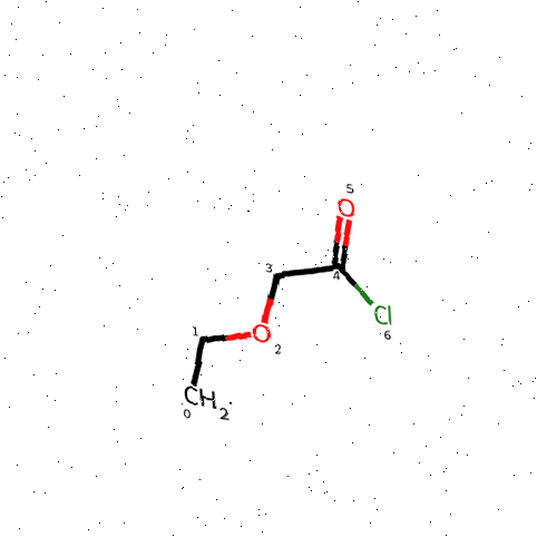 [CH2]COCC(=O)Cl